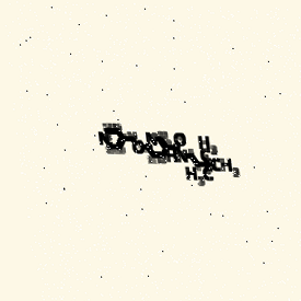 CC(C)(C)CCNC(=O)c1ccc(OCc2ccncc2)nc1